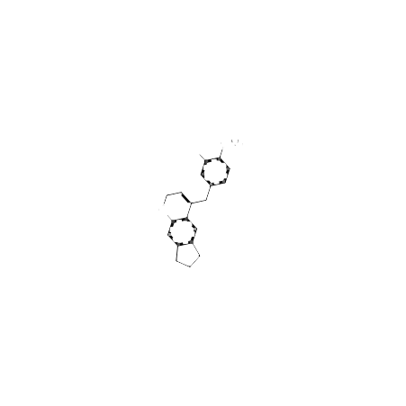 COc1ccc(CC2=CCOc3cc4c(cc32)CCC4)cc1C